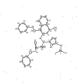 CN(C)Cc1ccc(C(Cc2cc(Cl)c3cccnc3c2OCc2ccccc2)NC(=O)COc2ccccc2)o1